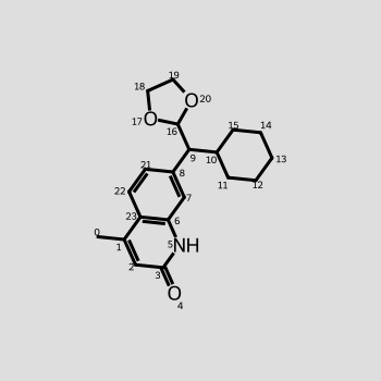 Cc1cc(=O)[nH]c2cc(C(C3CCCCC3)C3OCCO3)ccc12